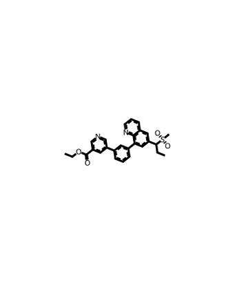 CCOC(=O)c1cncc(-c2cccc(-c3cc(C(CC)S(C)(=O)=O)cc4cccnc34)c2)c1